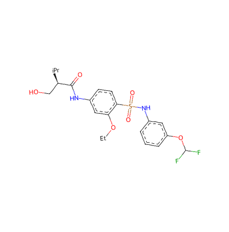 CCOc1cc(NC(=O)[C@@H](CO)C(C)C)ccc1S(=O)(=O)Nc1cccc(OC(F)F)c1